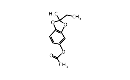 CCC1(C)Oc2ccc(OC(C)=O)cc2O1